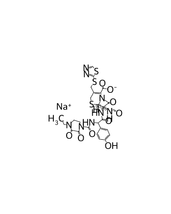 CCN1CCN(C(=O)NC(C(=O)N[C@]2(NC=O)C(=O)N3C(C(=O)[O-])=C(CSc4nncs4)CS[C@@H]32)c2ccc(O)cc2)C(=O)C1=O.[Na+]